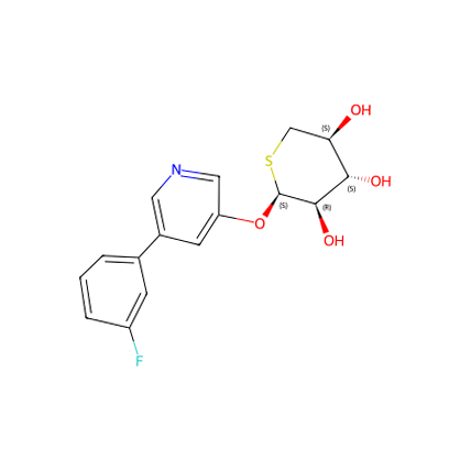 O[C@@H]1[C@@H](O)[C@@H](Oc2cncc(-c3cccc(F)c3)c2)SC[C@H]1O